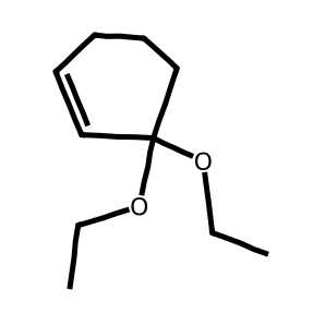 CCOC1(OCC)C=CCCC1